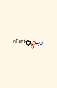 CCCCCC1C=CC(C(=O)OCC[N+](C)(C)C)=CC1